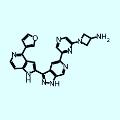 NC1CN(c2cncc(-c3cc4c(-c5cc6c(-c7ccoc7)nccc6[nH]5)n[nH]c4cn3)n2)C1